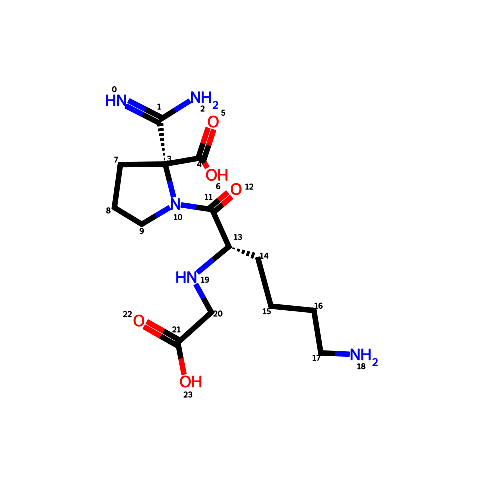 N=C(N)[C@@]1(C(=O)O)CCCN1C(=O)[C@H](CCCCN)NCC(=O)O